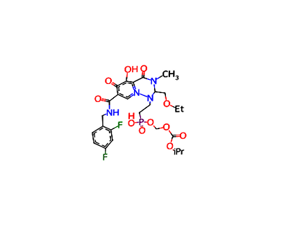 CCOCC1N(C)C(=O)c2c(O)c(=O)c(C(=O)NCc3ccc(F)cc3F)cn2N1CCP(=O)(O)OCOC(=O)OC(C)C